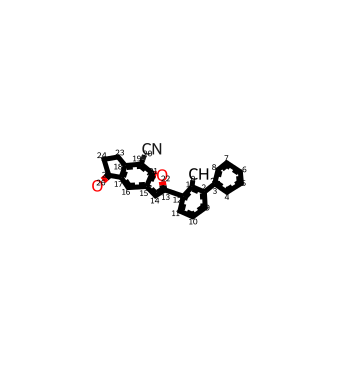 Cc1c(-c2ccccc2)cccc1-c1cc2cc3c(c(C#N)c2o1)CCC3=O